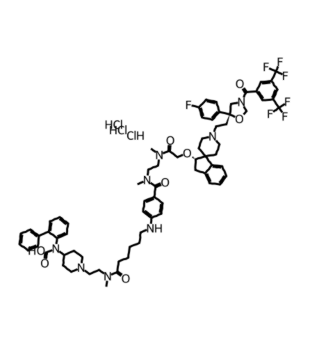 CN(CCN1CCC(N(C(=O)O)c2ccccc2-c2ccccc2)CC1)C(=O)CCCCCNc1ccc(C(=O)N(C)CCN(C)C(=O)CO[C@H]2Cc3ccccc3C23CCN(CC[C@@]2(c4ccc(F)cc4)CN(C(=O)c4cc(C(F)(F)F)cc(C(F)(F)F)c4)CO2)CC3)cc1.Cl.Cl.Cl